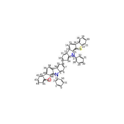 c1ccc(-n2c3ccc(-c4ccc5c6ccc7c8ccccc8sc7c6n(-c6ccccc6)c5c4)cc3c3ccc4c5ccccc5oc4c32)cc1